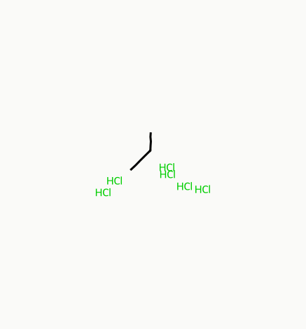 CCC.Cl.Cl.Cl.Cl.Cl.Cl